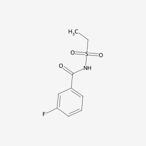 CCS(=O)(=O)NC(=O)c1cccc(F)c1